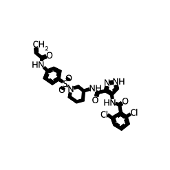 C=CC(=O)Nc1ccc(S(=O)(=O)N2CCCC(NC(=O)c3n[nH]cc3NC(=O)c3c(Cl)cccc3Cl)C2)cc1